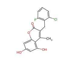 Cc1c(Cc2c(F)cccc2Cl)c(=O)oc2cc(O)cc(O)c12